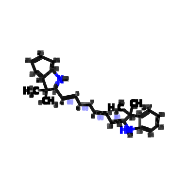 CC1(C)C(/C=C/C=C/C=C/C=C2/Nc3ccccc3C2(C)C)=Nc2ccccc21